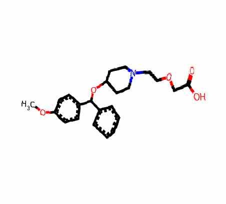 COc1ccc(C(OC2CCN(CCOCC(=O)O)CC2)c2ccccc2)cc1